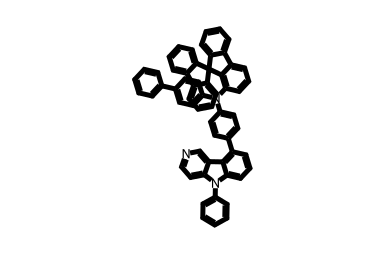 c1ccc(-c2ccc(N(c3ccc(-c4cccc5c4c4cnccc4n5-c4ccccc4)cc3)c3cccc4c3C3(c5ccccc5-c5ccccc53)c3ccccc3-4)cc2)cc1